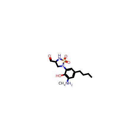 C.CCCCc1cc(N)c(O)c(N2CC(C=O)NS2(=O)=O)c1